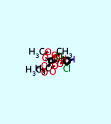 CC(=O)OCC1[C@@H](OC(C)=O)C(OC(C)=O)C1(OC(C)=O)[C@H](O)Oc1c(Cl)cc(I)cc1Cl